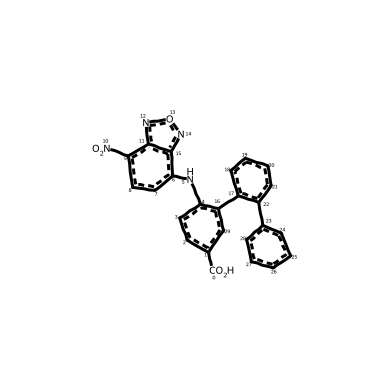 O=C(O)c1ccc(Nc2ccc([N+](=O)[O-])c3nonc23)c(-c2ccccc2-c2ccccc2)c1